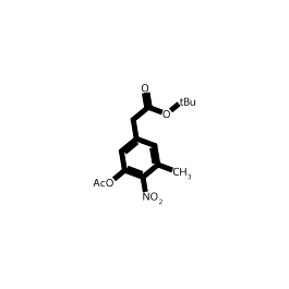 CC(=O)Oc1cc(CC(=O)OC(C)(C)C)cc(C)c1[N+](=O)[O-]